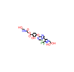 O=C(COC(=O)c1ccc(Oc2nccn3c(-c4cn(CC(O)O)nc4C(F)(F)F)cnc23)cc1O)NCCO